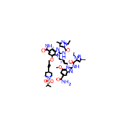 CCn1nc(C)cc1C(=O)Nc1nc2cc(C(N)=O)cc(OC)c2n1C/C=C/Cn1c(NC(=O)c2cc(C)nn2CC)nc2cc(C(N)=O)cc(OCC#CC3CCN(S(=O)(=O)C(C)C)CC3)c21